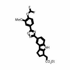 CCOC(=O)CC1CCc2c1[nH]c1ccc(-c3noc(-c4ccc(OC(F)F)c(OC)c4)n3)cc21